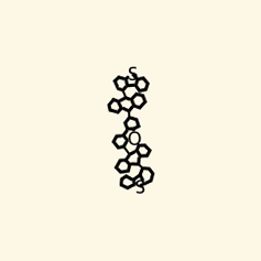 c1ccc2c(c1)sc1cccc(-c3c4ccccc4c(-c4ccc5oc6c(-c7c8ccccc8c(-c8cccc9sc%10ccccc%10c89)c8ccccc78)cccc6c5c4)c4ccccc34)c12